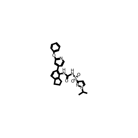 CC(C)n1ccc(S(=O)(=O)NC(=O)Nc2c(-c3ccnc(Oc4ccccc4)c3)ccc3c2CCC3)n1